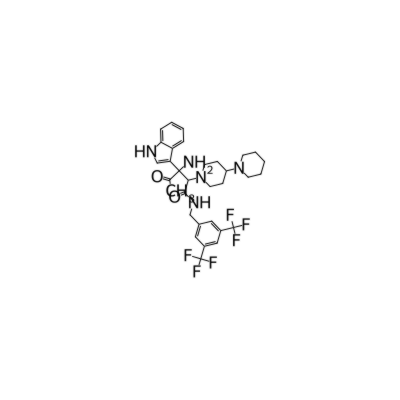 CC(=O)C(N)(c1c[nH]c2ccccc12)C(C(=O)NCc1cc(C(F)(F)F)cc(C(F)(F)F)c1)N1CCC(N2CCCCC2)CC1